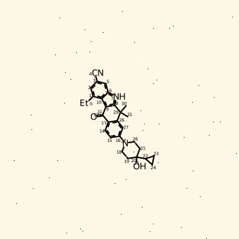 CCc1cc(C#N)cc2[nH]c3c(c12)C(=O)c1ccc(N2CCC(O)(C4CC4)CC2)cc1C3(C)C